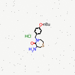 CCCCOc1ccc(CN2CCSCC(N)C2=O)cc1.Cl